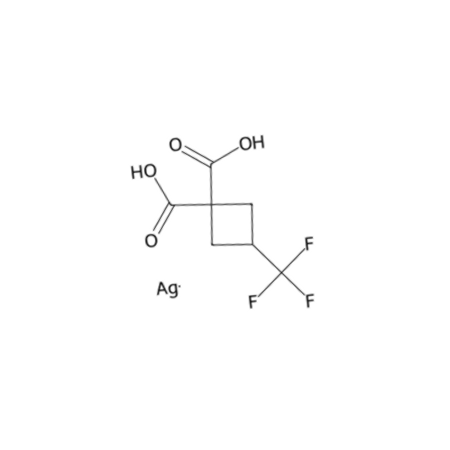 O=C(O)C1(C(=O)O)CC(C(F)(F)F)C1.[Ag]